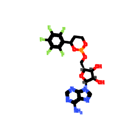 Nc1ncnc2c1ncn2[C@@H]1O[C@H](COP2OCCC(c3c(F)c(F)c(F)c(F)c3F)O2)[C@@H](O)[C@H]1O